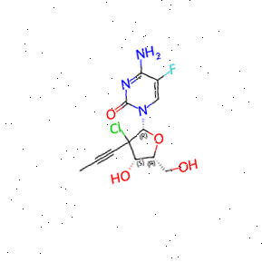 CC#CC1(Cl)[C@@H](O)[C@@H](CO)O[C@H]1n1cc(F)c(N)nc1=O